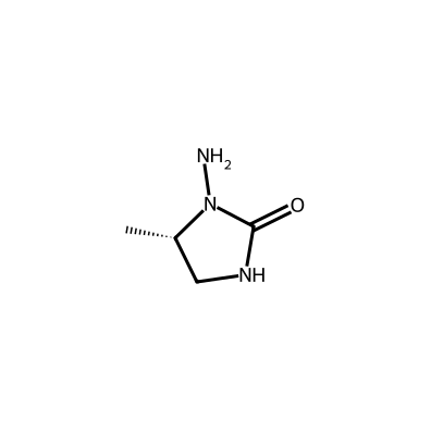 C[C@H]1CNC(=O)N1N